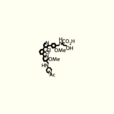 COc1cc(-c2nccc(-c3cccc(-c4ccc(CNC5CCN(C(C)=O)CC5)c(OC)n4)c3Cl)c2Cl)ccc1CN[C@H](CCO)C(=O)O